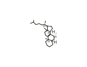 CC(C)CCC[C@@H](C)[C@H]1CC[C@H]2C3=C(CC[C@]12C)[C@@]1(C)CCCC[C@@H]1C[C@H]3C